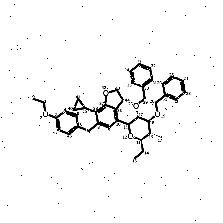 CCOc1ccc(Cc2cc(C3O[C@H](CC)[C@@H](C)[C@H](OCc4ccccc4)[C@H]3OCc3ccccc3)c3c(c2C2CC2)OCC3)cc1